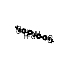 CC(C)(C)OC(=O)N1CC=C(c2ccc(C(=O)Nc3ccc(N4CCN(C(=O)OC(C)(C)C)CC4)c(C(F)(F)F)c3)cc2)CC1